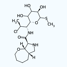 CSC1O[C@H]([C@H](NC(=O)[C@H]2NC[C@@H]3CCCCO[C@@H]32)[C@H](C)Cl)C(O)C(O)[C@H]1O